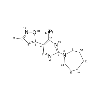 Cc1cc(-c2cnc(N3CCCCCC3)nc2C(C)C)on1